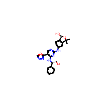 CC1(C)OB(O)c2ccc(Nc3ncc(-c4nnco4)c(N[C@H](CO)c4ccccc4)n3)cc21